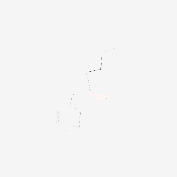 OC(CCCBr)Cc1ccccc1